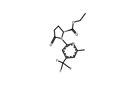 CCOC(=O)[C@@H]1CCC(=O)N1c1cc(C(F)(F)F)cc(C)n1